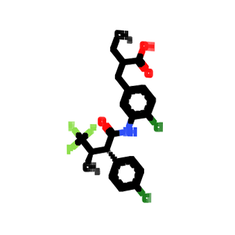 CCC(Cc1ccc(Cl)c(NC(=O)[C@H](c2ccc(Cl)cc2)[C@@H](C)C(F)(F)F)c1)C(=O)O